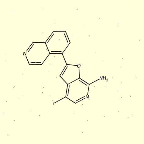 Nc1ncc(I)c2cc(-c3cccc4cnccc34)oc12